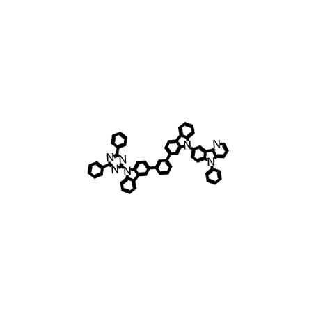 c1ccc(-c2nc(-c3ccccc3)nc(-n3c4ccccc4c4cc(-c5cccc(-c6ccc7c8ccccc8n(-c8ccc9c(c8)c8ncccc8n9-c8ccccc8)c7c6)c5)ccc43)n2)cc1